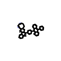 C1=C\CCC2Cc3c(-c4ccc(-c5c6ccccc6c(-c6ccccc6)c6ccccc56)cc4)nc4ccccc4c3N=C2\C=C/1